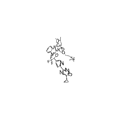 COC(C)CS(=O)(=O)N(COCC[Si](C)(C)C)c1nc2ccccc2nc1OC(c1ccc(-c2noc(C3CC3)n2)nc1)C(F)(F)F